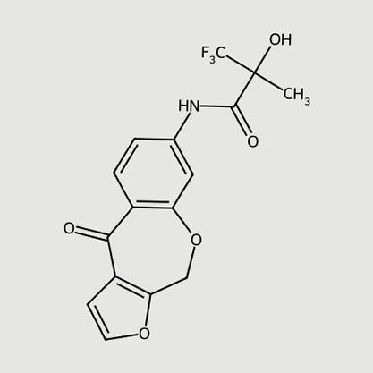 CC(O)(C(=O)Nc1ccc2c(c1)OCc1occc1C2=O)C(F)(F)F